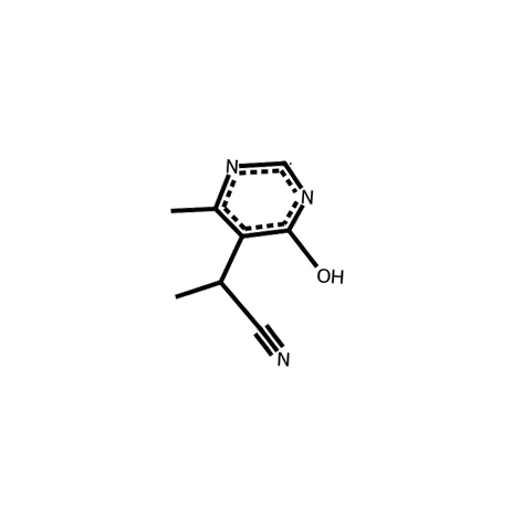 Cc1n[c]nc(O)c1C(C)C#N